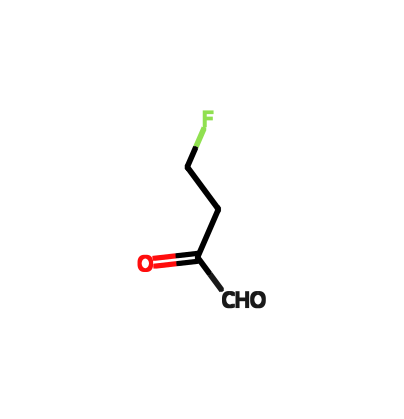 O=CC(=O)CCF